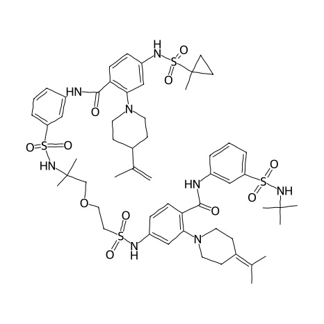 C=C(C)C1CCN(c2cc(NS(=O)(=O)C3(C)CC3)ccc2C(=O)Nc2cccc(S(=O)(=O)NC(C)(C)COCCS(=O)(=O)Nc3ccc(C(=O)Nc4cccc(S(=O)(=O)NC(C)(C)C)c4)c(N4CCC(=C(C)C)CC4)c3)c2)CC1